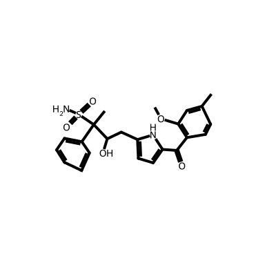 COc1cc(C)ccc1C(=O)c1ccc(CC(O)C(C)(c2ccccc2)S(N)(=O)=O)[nH]1